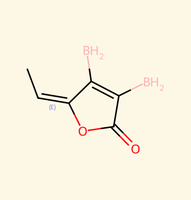 BC1=C(B)/C(=C\C)OC1=O